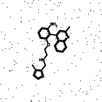 Cc1cc(-c2c(N)cccc2OCCNCc2sccc2C)c2ccccc2n1